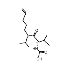 C=CCCCN(C(=O)[C@@H](NC(=O)O)C(C)C)C(C)C